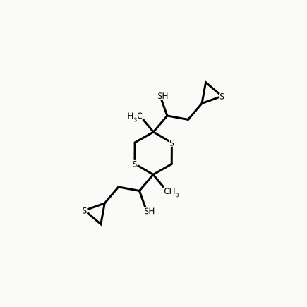 CC1(C(S)CC2CS2)CSC(C)(C(S)CC2CS2)CS1